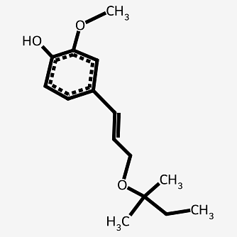 CCC(C)(C)OC/C=C/c1ccc(O)c(OC)c1